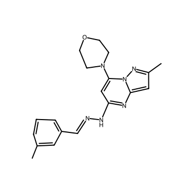 Cc1cccc(/C=N/Nc2cc(N3CCOCC3)n3nc(C)cc3n2)c1